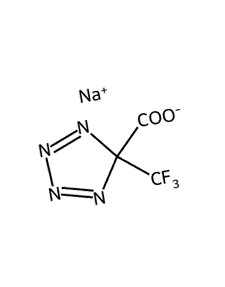 O=C([O-])C1(C(F)(F)F)N=NN=N1.[Na+]